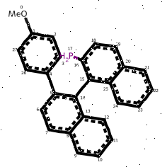 COc1ccc(-c2ccc3ccccc3c2-c2c(P)ccc3ccccc23)cc1